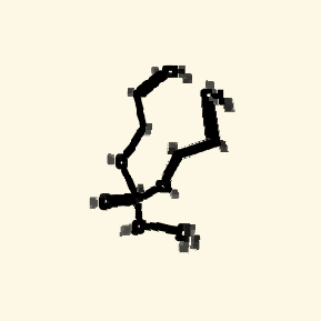 C=CCOP(=O)(OCC=C)OC(F)(F)F